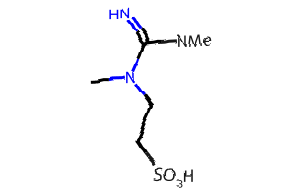 CNC(=N)N(C)CCS(=O)(=O)O